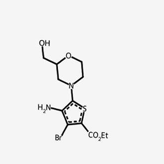 CCOC(=O)c1sc(N2CCOC(CO)C2)c(N)c1Br